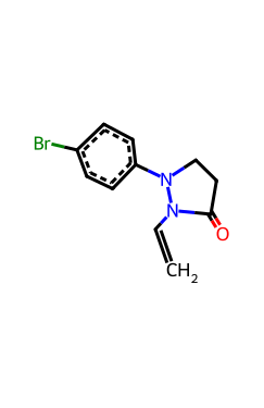 C=CN1C(=O)CCN1c1ccc(Br)cc1